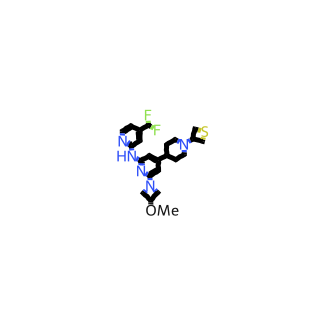 COC1CN(c2cc(C3CCN(C4CSC4)CC3)cc(Nc3cc(C(F)F)ccn3)n2)C1